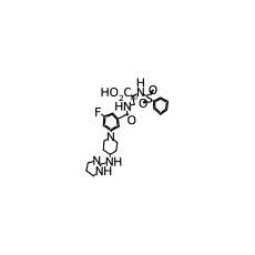 O=C(NC[C@H](NS(=O)(=O)c1ccccc1)C(=O)O)c1cc(F)cc(N2CCC(NC3=NCCCN3)CC2)c1